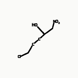 O=[N+]([O-])CC(O)CCCCl